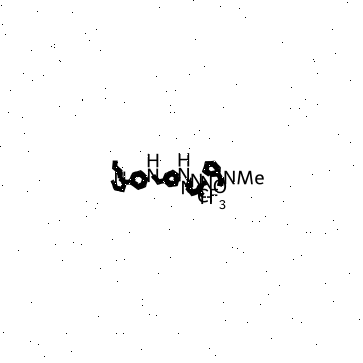 CC=CN1CCCC1c1ccc(NCc2ccc(Nc3ncc(C(F)(F)F)c(Nc4ccccc4C(=O)NC)n3)cc2)cc1